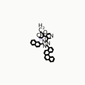 C=Cc1oc2cncc(-c3nc(-c4ccc5ccccc5c4)nc(-c4cccc5c4ccc4ccc6ccccc6c45)n3)c2c1/C=C\C